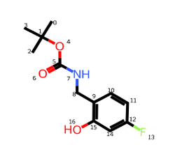 CC(C)(C)OC(=O)NCc1ccc(F)cc1O